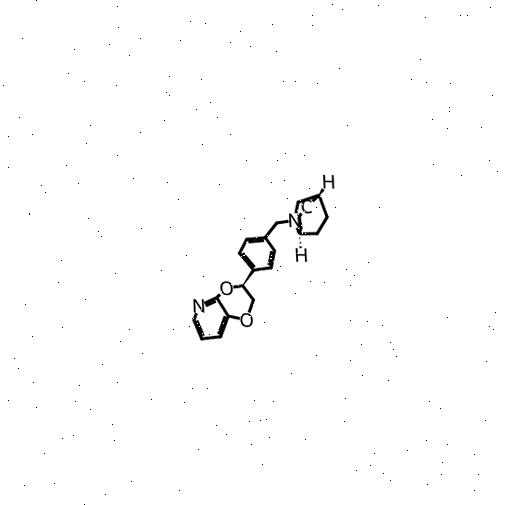 c1cnc2c(c1)OC[C@H](c1ccc(CN3C[C@H]4CCC[C@H]3CC4)cc1)O2